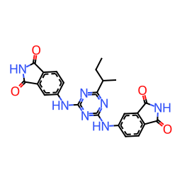 CCC(C)c1nc(Nc2ccc3c(c2)C(=O)NC3=O)nc(Nc2ccc3c(c2)C(=O)NC3=O)n1